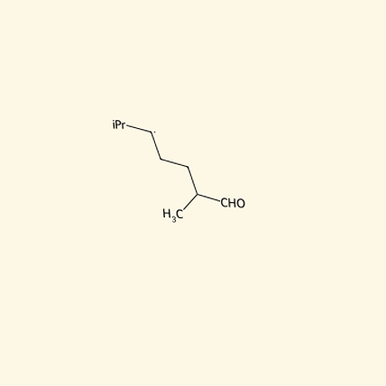 CC(C)[CH]CCC(C)C=O